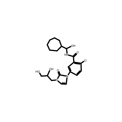 O=C(NC(O)C1CCCCCC1)c1cc(-n2ccn(CC(O)CO)c2=O)ccc1Cl